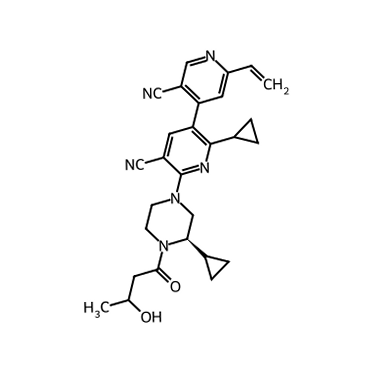 C=Cc1cc(-c2cc(C#N)c(N3CCN(C(=O)CC(C)O)[C@H](C4CC4)C3)nc2C2CC2)c(C#N)cn1